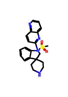 CS(=O)(=O)[N+]1(c2ccc3ncccc3n2)CC2(CCNCC2)c2ccccc21